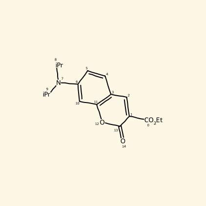 CCOC(=O)c1cc2ccc(N(C(C)C)C(C)C)cc2oc1=O